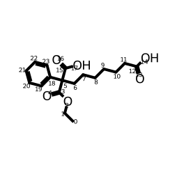 CCOC(=O)C(CCCCCCC(=O)O)(C(=O)O)c1ccccc1